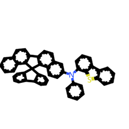 c1ccc(N(c2ccc3c4c(ccc3c2)-c2ccc3ccccc3c2C42c3ccccc3-c3ccccc32)c2cccc3c2sc2ccccc23)cc1